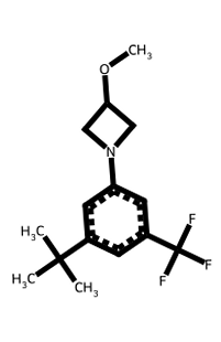 COC1CN(c2cc(C(C)(C)C)cc(C(F)(F)F)c2)C1